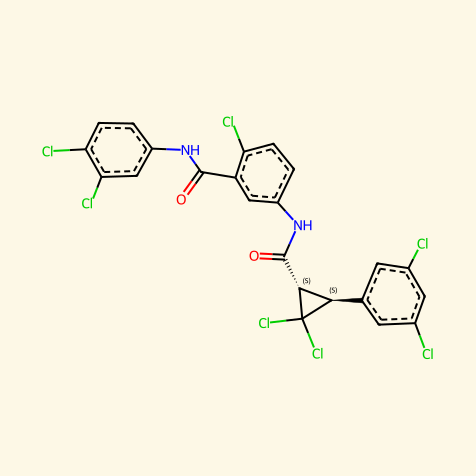 O=C(Nc1ccc(Cl)c(Cl)c1)c1cc(NC(=O)[C@@H]2[C@@H](c3cc(Cl)cc(Cl)c3)C2(Cl)Cl)ccc1Cl